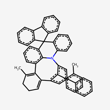 CC1=C2C(=CCC1)c1cc(-c3ccccc3)cc(c1-c1ccccc1C)N1c3ccccc3C3(c4ccccc4-c4ccccc43)c3cccc2c31